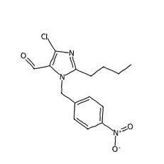 CCCCc1nc(Cl)c(C=O)n1Cc1ccc([N+](=O)[O-])cc1